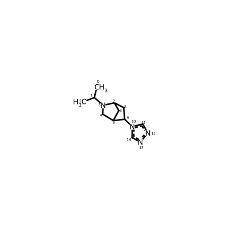 CC(C)N1CC2CC1CC2n1cnnc1